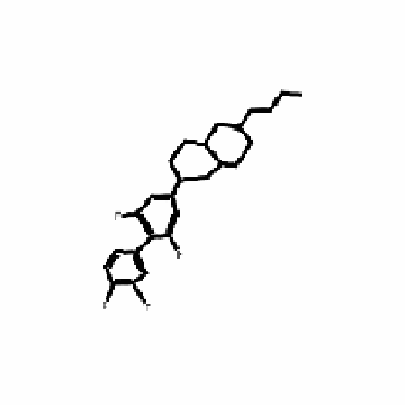 CCCCC1CCC2CC(c3cc(F)c(-c4ccc(F)c(F)c4)c(F)c3)CCC2C1